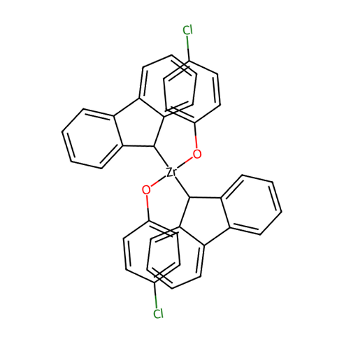 Clc1ccc([O][Zr]([O]c2ccc(Cl)cc2)([CH]2c3ccccc3-c3ccccc32)[CH]2c3ccccc3-c3ccccc32)cc1